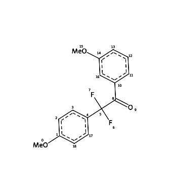 COc1ccc(C(F)(F)C(=O)c2cccc(OC)c2)cc1